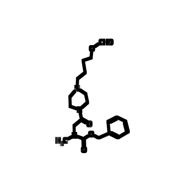 CN(CC(=O)N1CCN(CCCCOC=O)CC1)C(=O)OCc1ccccc1